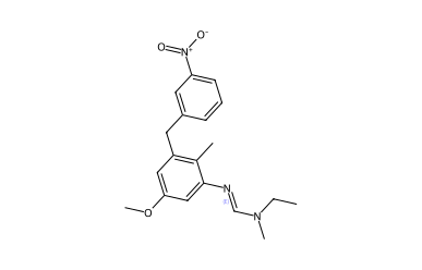 CCN(C)/C=N/c1cc(OC)cc(Cc2cccc([N+](=O)[O-])c2)c1C